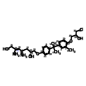 Cc1cc(C(C)(C)c2ccc(OC[C@H](O)CN(N)/C=C(\N)CO)cc2)ccc1OCC(O)CCl